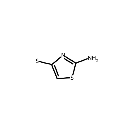 Nc1nc([S])cs1